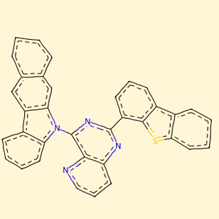 c1ccc2cc3c(cc2c1)c1ccccc1n3-c1nc(-c2cccc3c2sc2ccccc23)nc2cccnc12